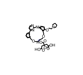 C1=C/COCc2cc(ccc2OCCN2CCCC2)Nc2nccc(n2)-c2cccc(c2)COC/1.O=C(O)CC(O)(CC(=O)O)C(=O)O